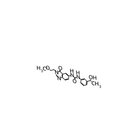 COCCn1cnc2ccc(NC(=O)Nc3cccc(C(C)O)c3)cc2c1=O